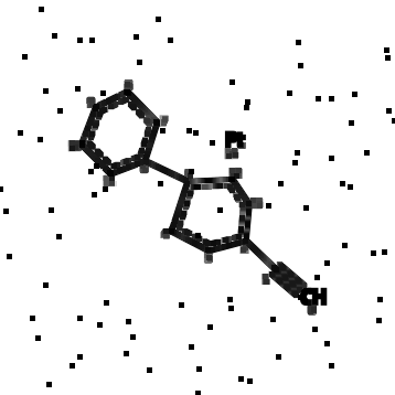 C#Cc1ccc(-c2ccccc2)cc1.[Pt]